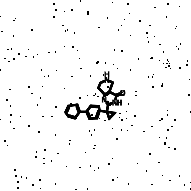 O=c1[nH]c(C2(c3ccc(-c4ccccc4)cc3)CC2)nc2c1CNCC2